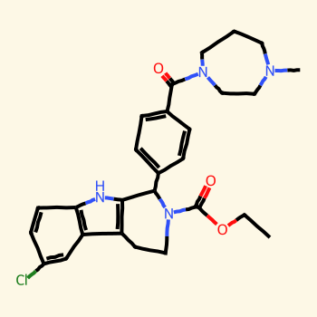 CCOC(=O)N1CCc2c([nH]c3ccc(Cl)cc23)C1c1ccc(C(=O)N2CCCN(C)CC2)cc1